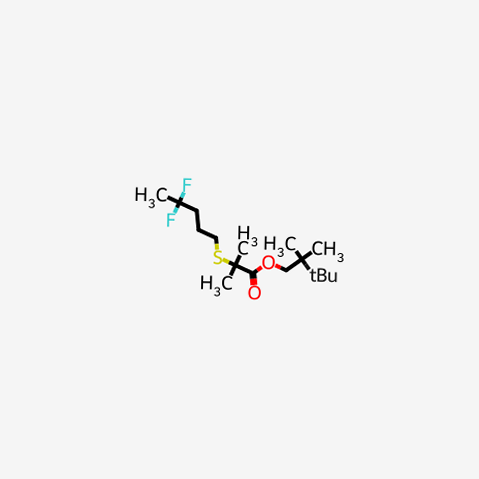 CC(F)(F)CCCSC(C)(C)C(=O)OCC(C)(C)C(C)(C)C